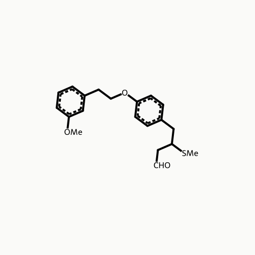 COc1cccc(CCOc2ccc(CC(CC=O)SC)cc2)c1